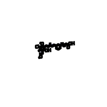 CO/N=C/c1c(C)c(Cl)c(OC)c(C/C=C(C)/C=C/C2CCC/C(=N\OCC(=O)O)C2)c1O